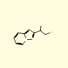 NCC(O)c1cc2ccccn2n1